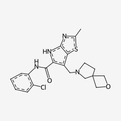 Cc1nc2[nH]c(C(=O)Nc3ccccc3Cl)c(CN3CCC4(COC4)C3)c2s1